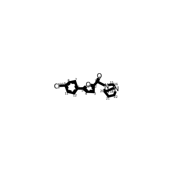 O=C(c1ccc(-c2ccc(Cl)cc2)o1)N1CCN2CCC1CC2